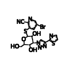 N#Cc1ncc(Br)cc1SC1OC(CO)C(O)C(n2cc(-c3nccs3)nn2)[C@@H]1O